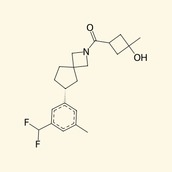 Cc1cc(C(F)F)cc([C@@H]2CCC3(C2)CN(C(=O)C2CC(C)(O)C2)C3)c1